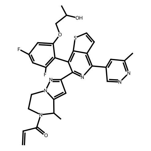 C=CC(=O)N1CCn2nc(-c3nc(-c4cnnc(C)c4)c4ccsc4c3-c3c(F)cc(F)cc3OCC(C)O)cc2C1C